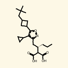 CCC[C@@H](Cc1noc(C2CC(CC(C)(C)C)C2)c1C1CC1)C(C(=O)O)C(=O)O